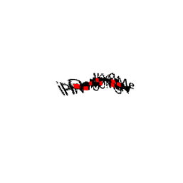 C=CC1CC(C2CC2)=CN1C(=O)c1cc(OC)c(OCCCOc2cc3c(cc2OC)C(=O)N2C=C(c4ccc(NC(=O)C(C)C)cc4)CC2C=N3)cc1C